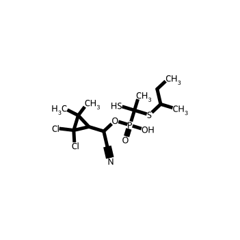 CCC(C)SC(C)(S)P(=O)(O)OC(C#N)C1C(C)(C)C1(Cl)Cl